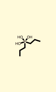 CCCP(O)(O)(O)CCC